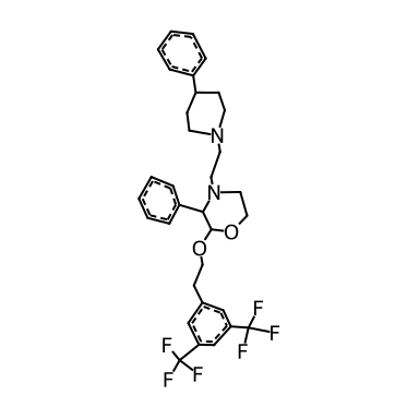 FC(F)(F)c1cc(CCOC2OCCN(CCN3CCC(c4ccccc4)CC3)C2c2ccccc2)cc(C(F)(F)F)c1